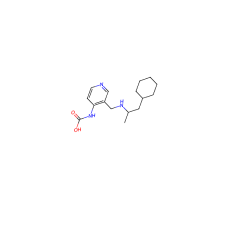 CC(CC1CCCCC1)NCc1cnccc1NC(=O)O